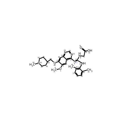 COc1cc2c(/N=C(\NCC(=O)O)Nc3c(C)cccc3C)ncnc2cc1OCC1CCN(C)CC1